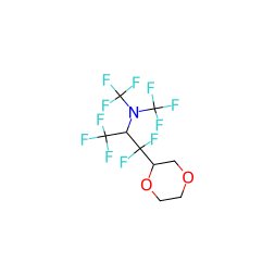 FC(F)(F)C(N(C(F)(F)F)C(F)(F)F)C(F)(F)C1COCCO1